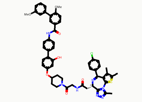 COc1cccc(-c2cc(C(=O)Nc3ccc(-c4ccc(OC5CCN(C(=O)CNC(=O)C[C@@H]6N=C(c7ccc(Cl)cc7)c7c(sc(C)c7C)-n7c(C)nnc76)CC5)cc4O)cc3)ccc2OC)c1